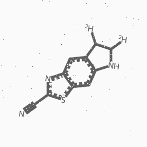 [2H]C1Nc2cc3sc(C#N)nc3cc2C1[2H]